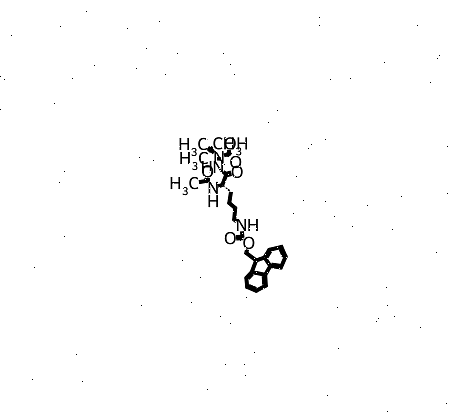 CC(=O)N[C@@H](CCCCNC(=O)OCC1c2ccccc2-c2ccccc21)C(=O)NN(C(=O)O)C(C)(C)C